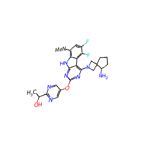 CNc1cc(F)c(F)c2c1[nH]c1nc(Oc3cnc(C(C)O)nc3)nc(N3CC4(CCCC4N)C3)c12